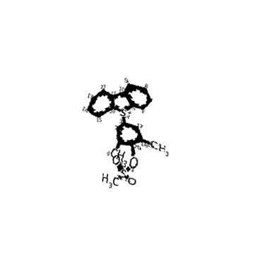 Cc1cc(-[s+]2c3ccccc3c3ccccc32)cc(C)c1OS(C)(=O)=O